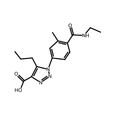 CCCc1c(C(=O)O)nnn1-c1ccc(C(=O)NCC)c(C)c1